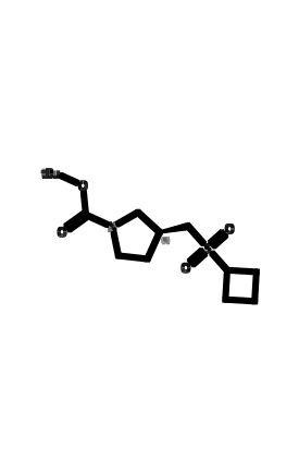 CC(C)(C)OC(=O)N1CC[C@H](CS(=O)(=O)C2CCC2)C1